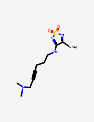 CNC1=NS(=O)(=O)N=C1NCCCC#CCN(C)C